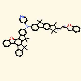 CC1/C(=C\C=C2/Cc3ccccc3O2)C(C)(C)c2cc3c(cc21)C(C)(C)c1cc(N(c2ccncc2)c2ccc4c(c2)C(C)(C)c2c5c(c6c(oc7ccccc76)c2-4)-c2ccccc2C5(C)C)ccc1-3